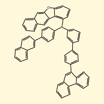 c1cc(-c2ccc(-c3cc4ccccc4c4ccccc34)cc2)cc(N(c2ccc(-c3ccc4ccccc4c3)cc2)c2cccc3oc4cc5ccccc5cc4c23)c1